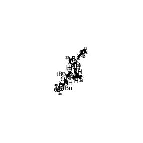 CN(C[C@@H](NC(=O)N[C@H](C(=O)N1C[C@H]2[C@@H]([C@H]1C(=O)N[C@@H](CC(F)F)C(=O)NCCc1cccs1)C2(C)C)C(C)(C)C)C(C)(C)C)S(C)(=O)=O